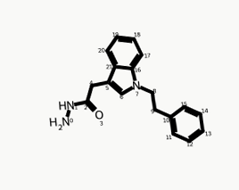 NNC(=O)Cc1cn(CCc2ccccc2)c2ccccc12